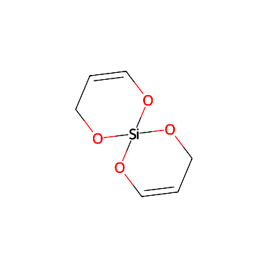 C1=CO[Si]2(OC=CCO2)OC1